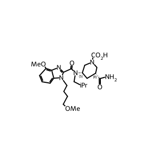 COCCCCn1c(C(=O)N(CC(C)C)[C@H]2C[C@@H](C(N)=O)CN(C(=O)O)C2)nc2c(OC)cccc21